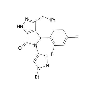 CCn1cc(N2C(=O)c3[nH]nc(CC(C)C)c3C2c2ccc(F)cc2F)cn1